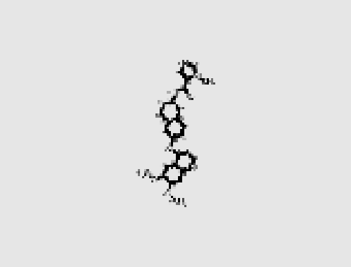 COc1cc2nccc(Oc3ccc4cc(NC(=O)c5cncn5C)ccc4c3)c2cc1OC